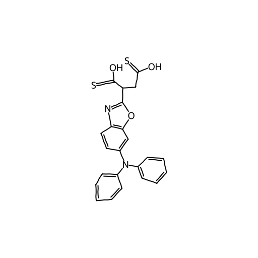 OC(=S)CC(C(O)=S)c1nc2ccc(N(c3ccccc3)c3ccccc3)cc2o1